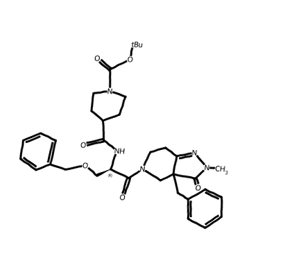 CN1N=C2CCN(C(=O)[C@@H](COCc3ccccc3)NC(=O)C3CCN(C(=O)OC(C)(C)C)CC3)CC2(Cc2ccccc2)C1=O